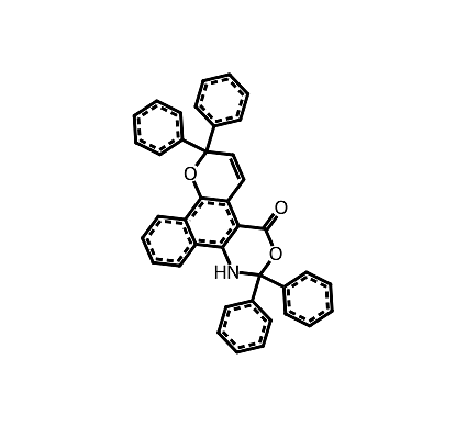 O=C1OC(c2ccccc2)(c2ccccc2)Nc2c1c1c(c3ccccc23)OC(c2ccccc2)(c2ccccc2)C=C1